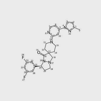 Cc1ccn(-c2ccnc(N3CCC4(CC3)CN3CC[C@@H](c5cc(F)cc(F)c5)N3C4=O)c2)n1